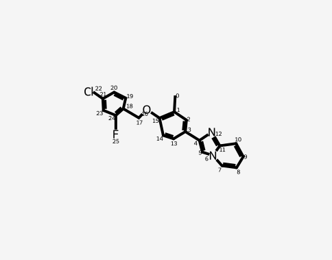 Cc1cc(-c2cn3ccccc3n2)ccc1OCc1ccc(Cl)cc1F